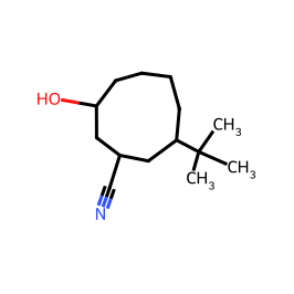 CC(C)(C)C1CCCCC(O)CC(C#N)C1